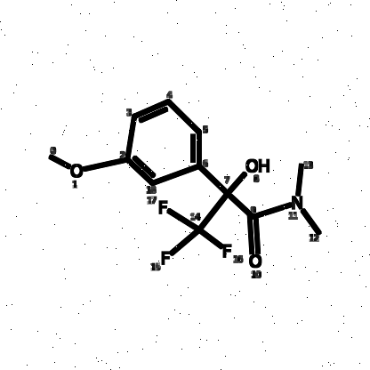 COc1cccc(C(O)(C(=O)N(C)C)C(F)(F)F)c1